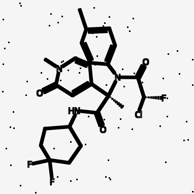 Cc1ccc(N(C(=O)[C@H](F)Cl)[C@@](C)(C(=O)NC2CCC(F)(F)CC2)c2ccn(C)c(=O)c2)cc1